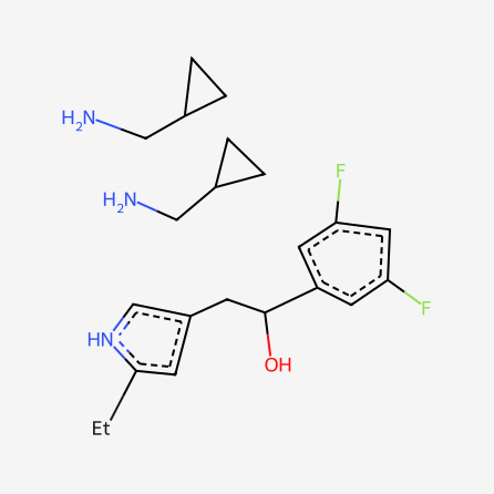 CCc1cc(CC(O)c2cc(F)cc(F)c2)c[nH]1.NCC1CC1.NCC1CC1